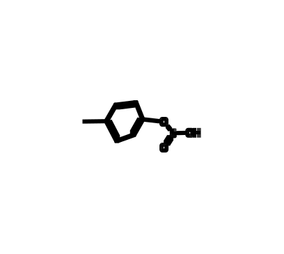 Cc1ccc(OS(=O)O)cc1